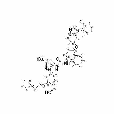 C[C@@H]1CCC[C@H](C)N1c1nnc2ccc(O[C@@H]3CC[C@H](NC(=O)Nc4cc(C(C)(C)C)nn4-c4ccc(CO)c(OCCN5CCCC5)c4)c4ccccc43)cn12